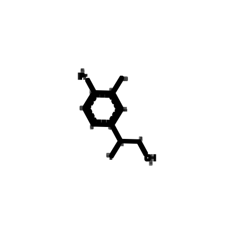 [CH2]C(CO)c1ccc(C(C)C)c(C)c1